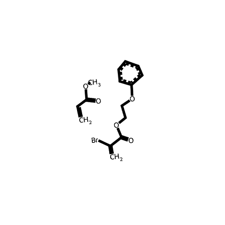 C=C(Br)C(=O)OCCOc1ccccc1.C=CC(=O)OC